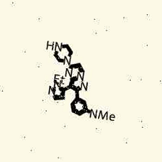 CCn1nccc1-c1c(-c2cccc(NC)c2)nn2ccc(N3CCNCC3)nc12